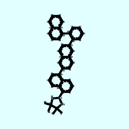 CC1(C)OB(c2cccc3c(-c4ccc5cc(-c6ccccc6-c6cccc7ccccc67)ccc5c4)cccc23)OC1(C)C